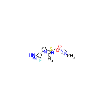 Cc1nc(COC(=O)N2CCN(C)CC2)sc1-c1cccc(-c2cc(F)c3nn[nH]c3c2)n1